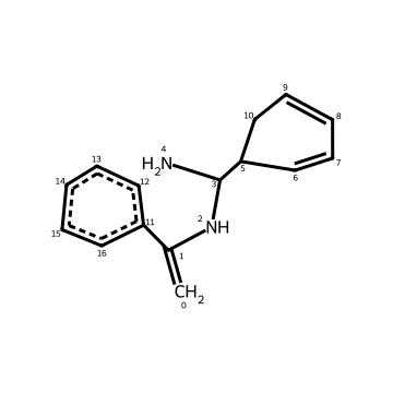 C=C(NC(N)C1C=CC=CC1)c1ccccc1